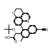 Cc1cc2cc(C#N)ccc2c(-c2ccc3c4c(ccnc24)CCO3)c1[C@@H](OC(C)(C)C)C(=O)O